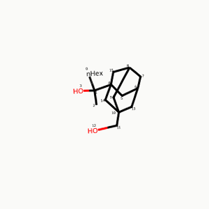 CCCCCCC(C)(O)C12CC3CC(CC(CO)(C3)C1)C2